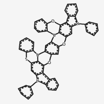 c1ccc(-n2c3ccccc3c3c4c5c(cc32)Oc2cc3c(cc2B5c2ccccc2O4)B2c4ccccc4Sc4cc5c(c(c42)O3)c2ccccc2n5-c2ccccc2)cc1